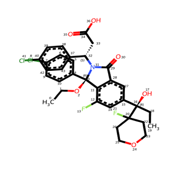 CCO[C@]1(c2ccc(Cl)cc2)c2c(F)cc([C@](O)(CC)C3(F)CCOCC3)cc2C(=O)N1[C@@H](CC(=O)O)c1ccc(Cl)cc1